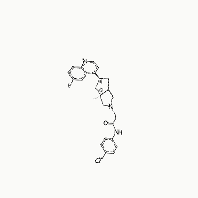 C[C@]12C[C@@H](c3ccnc4ccc(F)cc34)CC1CN(CC(=O)Nc1ccc(Cl)cc1)C2